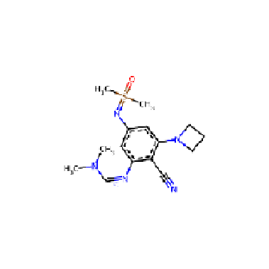 CN(C)/C=N\c1cc(N=S(C)(C)=O)cc(N2CCC2)c1C#N